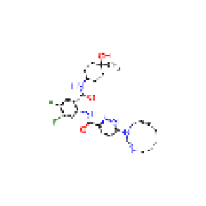 O=C(Nc1cc(F)c(F)cc1C(=O)NC1CCC(O)(C(F)(F)F)CC1)c1ccc(N2/C=N\CCCC/C=C\C2)nn1